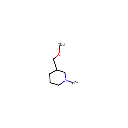 CCCN1CCCC(COC(C)(C)C)C1